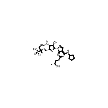 COCC(C)(OC[C@H]1O[C@@H](n2ncc3c(NC4CCCC4)nc(OC[C@@H](C)O)nc32)[C@H](O)[C@@H]1O)P(=O)(O)O